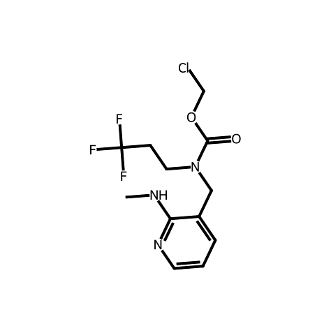 CNc1ncccc1CN(CCC(F)(F)F)C(=O)OCCl